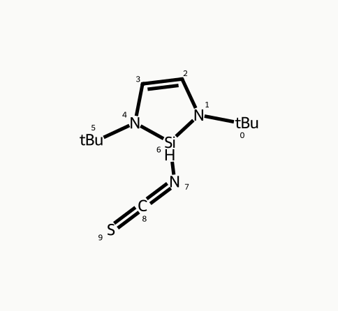 CC(C)(C)N1C=CN(C(C)(C)C)[SiH]1N=C=S